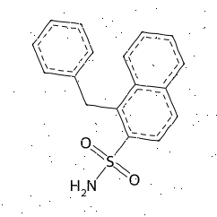 NS(=O)(=O)c1ccc2ccccc2c1Cc1ccccc1